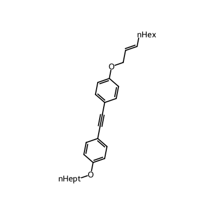 CCCCCCC=CCOc1ccc(C#Cc2ccc(OCCCCCCC)cc2)cc1